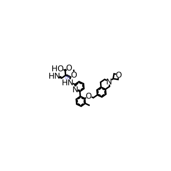 CO/C(Nc1cccc(-c2cccc(C)c2OCc2ccc3c(c2)CCN(C2COC2)C3)n1)=C(/C=N)C(=O)O